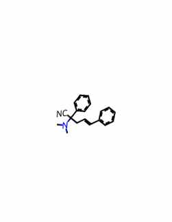 CN(C)C(C#N)(CC=Cc1ccccc1)c1ccccc1